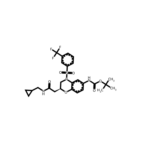 CC(C)(C)OC(=O)Nc1ccc2c(c1)N(S(=O)(=O)c1cccc(C(F)(F)F)c1)C[C@H](CC(=O)NCC1CC1)O2